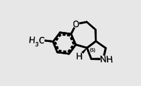 Cc1ccc2c(c1)OCCC1CNC[C@H]21